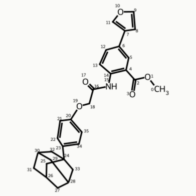 COC(=O)c1cc(-c2ccoc2)ccc1NC(=O)COc1ccc(C23CC4CC(CC(C4)C2)C3)cc1